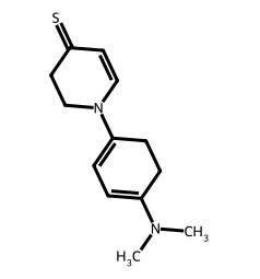 CN(C)C1=CC=C(N2C=CC(=S)CC2)CC1